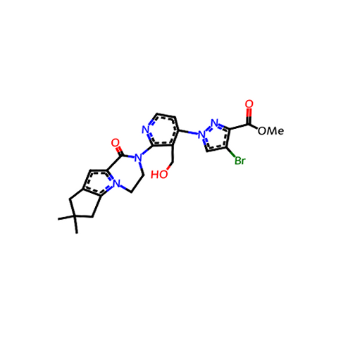 COC(=O)c1nn(-c2ccnc(N3CCn4c(cc5c4CC(C)(C)C5)C3=O)c2CO)cc1Br